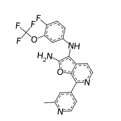 Cc1cc(-c2nccc3c(Nc4ccc(F)c(OC(F)(F)F)c4)c(N)oc23)ccn1